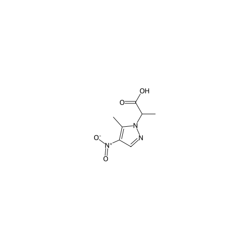 Cc1c([N+](=O)[O-])cnn1C(C)C(=O)O